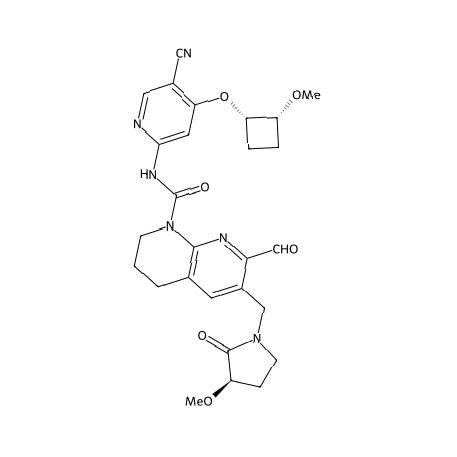 CO[C@@H]1CCN(Cc2cc3c(nc2C=O)N(C(=O)Nc2cc(O[C@H]4CC[C@H]4OC)c(C#N)cn2)CCC3)C1=O